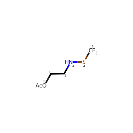 CC(=O)OCCNSC(F)(F)F